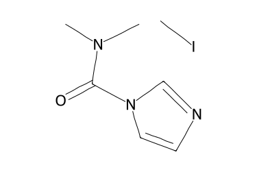 CI.CN(C)C(=O)n1ccnc1